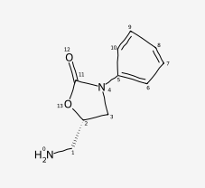 NC[C@H]1CN(c2ccccc2)C(=O)O1